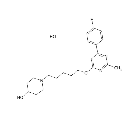 Cc1nc(OCCCCCN2CCC(O)CC2)cc(-c2ccc(F)cc2)n1.Cl